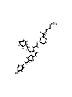 CCCCOC(=O)N1CCC[C@H](CCCc2ccc3[nH]c(COc4ccc(Cl)cc4)nc3c2OCc2ccccc2)C1